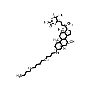 CC(C)[C@@H](CC[C@@H](C)[C@H]1CCC2C3C(CC[C@@]21C)[C@@]1(C)CC[C@H](NCCCNCCCCNCCCN)C[C@H]1C[C@H]3O)OS(=O)(=O)O